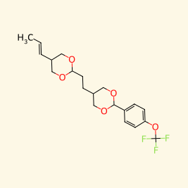 CC=CC1COC(CCC2COC(c3ccc(OC(F)(F)F)cc3)OC2)OC1